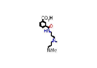 CNCCCN(C)CCCNC(=O)c1cccc(C(=O)O)c1